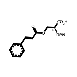 CN[C@@H](COC(=O)C=Cc1ccccc1)C(=O)O